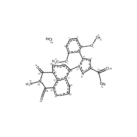 COc1cccc(OC)c1-c1cc(C(=O)O)nn1-c1ccc2c3c(cccc13)C(=O)N(N)C2=O.Cl